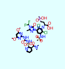 COc1cc(OC)nc(NC(=O)NS(=O)(=O)c2ncccc2C(=O)N(C)C)n1.CP(=O)(O)CCC(N)C(=O)O.Cc1nn(-c2cc(NS(C)(=O)=O)c(Cl)cc2Cl)c(=O)n1C(F)F